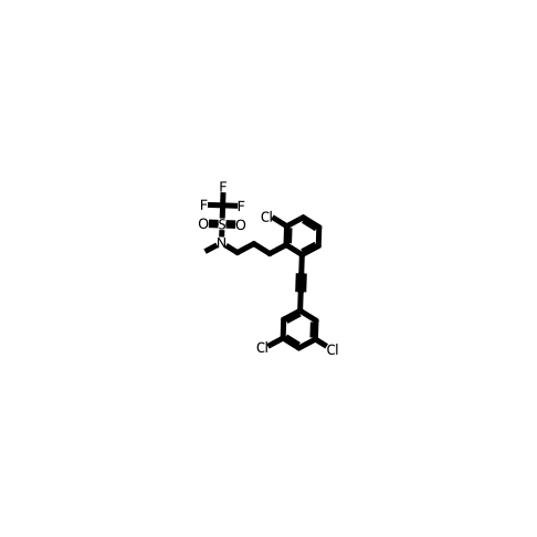 CN(CCCc1c(Cl)cccc1C#Cc1cc(Cl)cc(Cl)c1)S(=O)(=O)C(F)(F)F